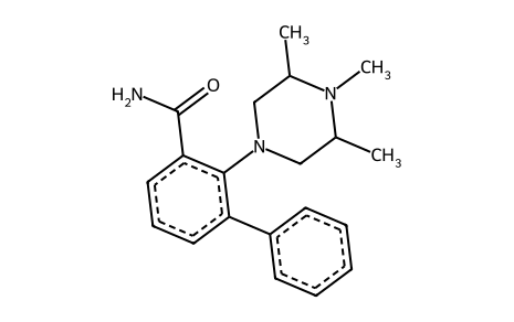 CC1CN(c2c(C(N)=O)cccc2-c2ccccc2)CC(C)N1C